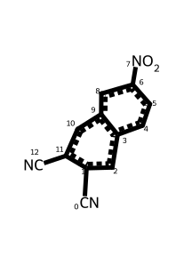 N#Cc1cc2ccc([N+](=O)[O-])cc2cc1C#N